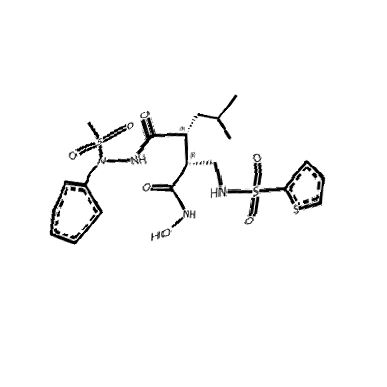 CC(C)C[C@@H](C(=O)NN(c1ccccc1)S(C)(=O)=O)[C@H](CNS(=O)(=O)c1cccs1)C(=O)NO